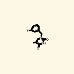 Cc1cn(Cc2cccc(F)c2)c(=O)[nH]c1=O